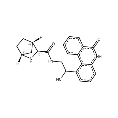 N#CC(CNC(=O)[C@H]1N[C@@H]2CC[C@H]1C2)c1cccc2[nH]c(=O)c3ccccc3c12